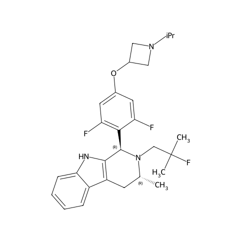 CC(C)N1CC(Oc2cc(F)c([C@@H]3c4[nH]c5ccccc5c4C[C@@H](C)N3CC(C)(C)F)c(F)c2)C1